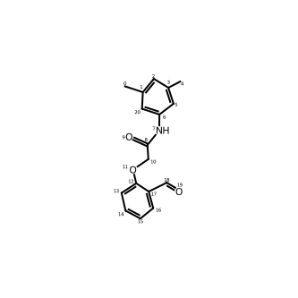 Cc1cc(C)cc(NC(=O)COc2ccccc2C=O)c1